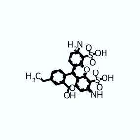 CCc1ccc(-c2c3ccc(=N)c(S(=O)(=O)O)c-3oc3c(S(=O)(=O)O)c(N)ccc23)c(C(=O)O)c1